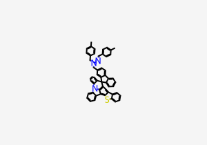 Cc1ccc(/C=N/N(Cc2ccc(C)cc2)Cc2ccc3c(c2)C2(c4ccccc4-3)c3ccccc3-n3c4ccccc4c4c5sc6ccccc6c5cc2c43)cc1